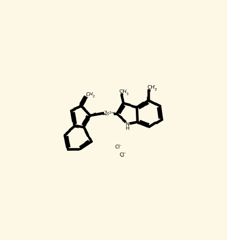 C=C1C=c2ccccc2=[C]1[Zr+2][c]1[nH]c2cccc(C)c2c1C.[Cl-].[Cl-]